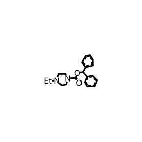 [CH2]CN1CCN(C(=O)OC(c2ccccc2)c2ccccc2)CC1